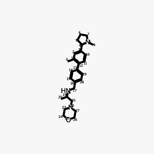 Cc1cc(C2CCCN2C)ccc1-c1ccc(CNC(C)CN2CCOCC2)cc1